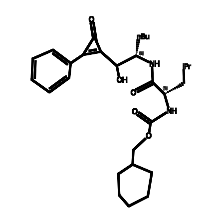 CCCC[C@H](NC(=O)[C@H](CC(C)C)NC(=O)OCC1CCCCC1)C(O)c1c(-c2ccccc2)c1=O